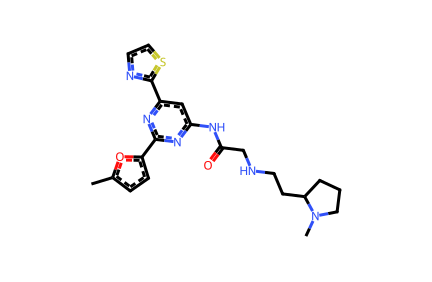 Cc1ccc(-c2nc(NC(=O)CNCCC3CCCN3C)cc(-c3nccs3)n2)o1